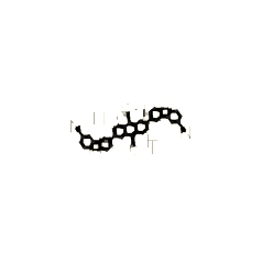 CC(C)(C)c1c2ccc(-c3ccc4oc5ccc(C#N)cc5c4c3)cc2c(C(C)(C)C)c2ccc(-c3ccc4oc5ccc(C#N)cc5c4c3)cc12